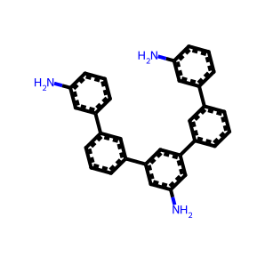 Nc1cccc(-c2cccc(-c3cc(N)cc(-c4cccc(-c5cccc(N)c5)c4)c3)c2)c1